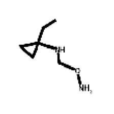 CCC1(NCON)CC1